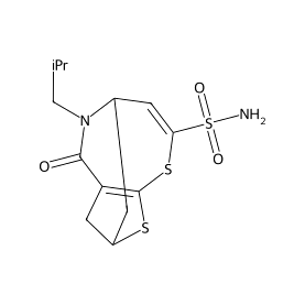 CC(C)CN1C(=O)C2=C3SC(S(N)(=O)=O)=CC1CC(C2)S3